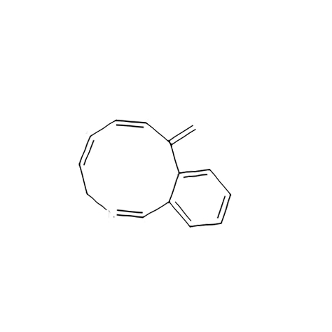 C=C1/C=C\C=C/C/N=C\c2ccccc21